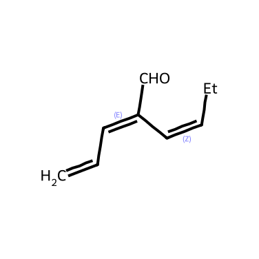 C=C/C=C(C=O)\C=C/CC